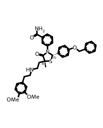 COc1ccc(CCNCC[C@@]2(C)S[C@@H](c3ccc(OCc4ccccc4)cc3)N(c3cccc(C(N)=O)c3)C2=O)cc1OC